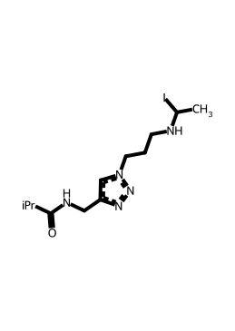 CC(I)NCCCn1cc(CNC(=O)C(C)C)nn1